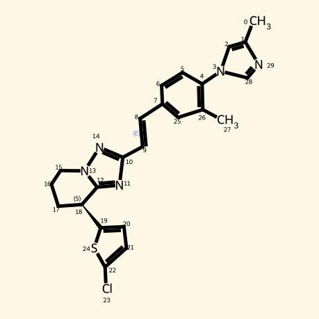 Cc1cn(-c2ccc(/C=C/c3nc4n(n3)CCC[C@@H]4c3ccc(Cl)s3)cc2C)cn1